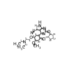 CCN(CC)CCOc1cc(-c2nc(OC3CCCC3)nc3c2C(C#N)CN3)c(Cl)cc1OC